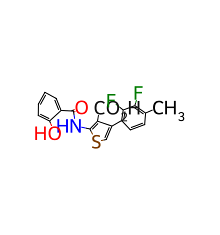 Cc1ccc(-c2csc(NC(=O)c3ccccc3O)c2C(=O)O)c(F)c1F